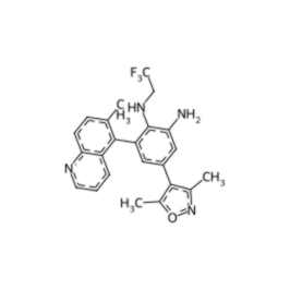 Cc1ccc2ncccc2c1-c1cc(-c2c(C)noc2C)cc(N)c1NCC(F)(F)F